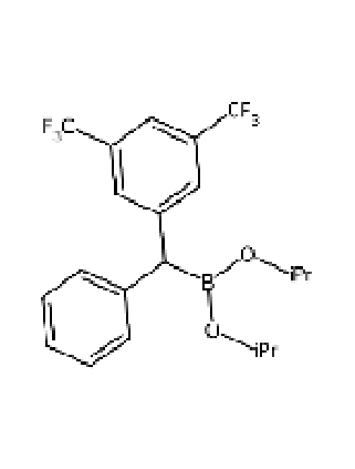 CC(C)OB(OC(C)C)C(c1ccccc1)c1cc(C(F)(F)F)cc(C(F)(F)F)c1